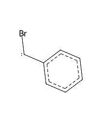 Br[C]c1ccccc1